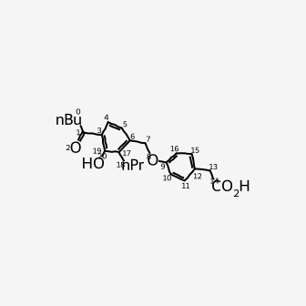 CCCCC(=O)c1ccc(COc2ccc(CC(=O)O)cc2)c(CCC)c1O